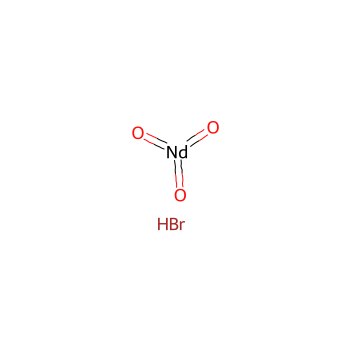 Br.[O]=[Nd](=[O])=[O]